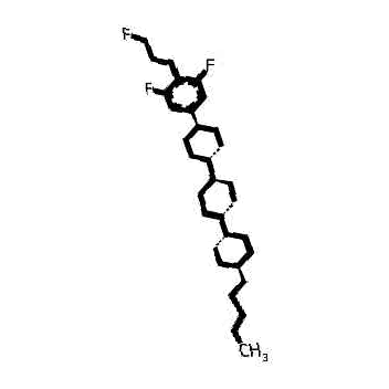 CCCCC[C@H]1CC[C@H]([C@H]2CC[C@H]([C@H]3CC[C@H](c4cc(F)c(CCCF)c(F)c4)CC3)CC2)CC1